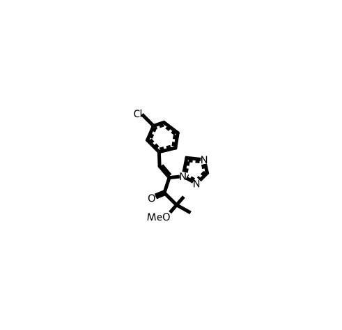 COC(C)(C)C(=O)/C(=C/c1cccc(Cl)c1)n1cncn1